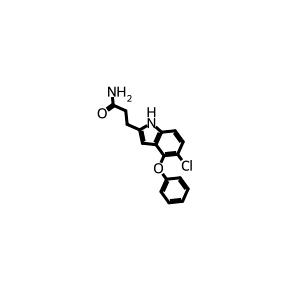 NC(=O)CCc1cc2c(Oc3ccccc3)c(Cl)ccc2[nH]1